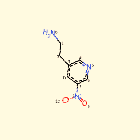 NCCc1[c]ncc([N+](=O)[O-])c1